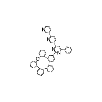 c1ccc(-c2cc(-c3ccc(-c4cccnc4)nc3)nc(-c3ccc4c(c3)-c3ccccc3Oc3ccccc3-c3ccccc3-c3ccccc3-4)n2)cc1